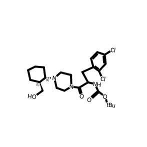 CC(C)(C)OC(=O)NC(Cc1ccc(Cl)cc1Cl)C(=O)N1CCN([C@H]2CCCC[C@@H]2CO)CC1